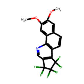 COc1cc2ccc3c4c(cnc3c2cc1OC)C(F)(F)C(F)(F)C4(F)F